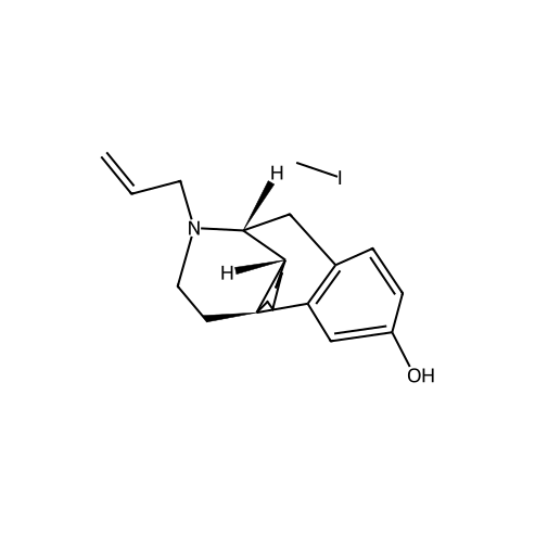 C=CCN1CC[C@]23CCCC[C@H]2[C@H]1Cc1ccc(O)cc13.CI